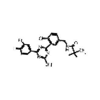 CCc1cc(-c2nc(O)nc(-c3cc(CNC(=O)C(C)(C)C(F)(F)F)ccc3Cl)n2)ccc1F